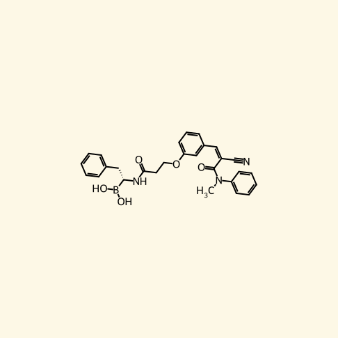 CN(C(=O)C(C#N)=Cc1cccc(OCCC(=O)N[C@@H](Cc2ccccc2)B(O)O)c1)c1ccccc1